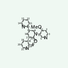 COc1ccncc1-n1cc(-c2ccccn2)cc(-c2cccnc2F)c1=O